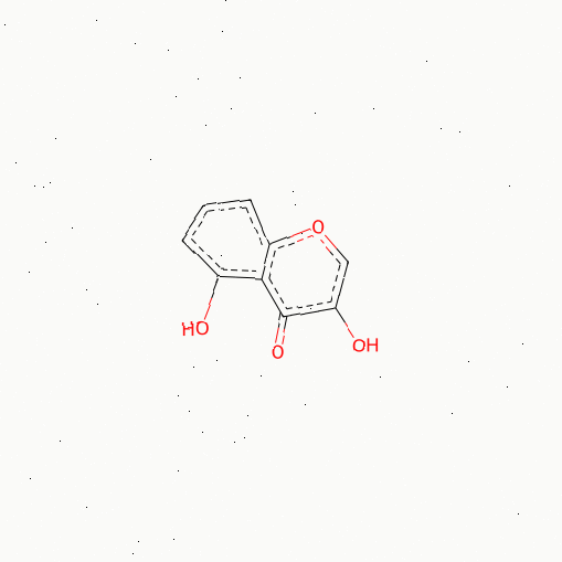 O=c1c(O)coc2cccc(O)c12